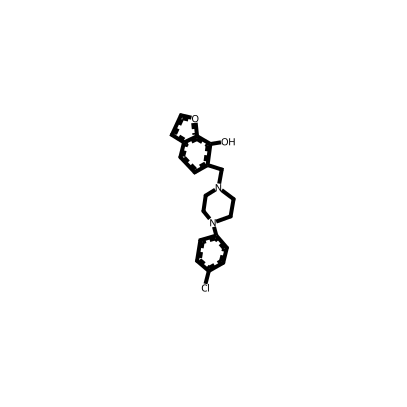 Oc1c(CN2CCN(c3ccc(Cl)cc3)CC2)ccc2ccoc12